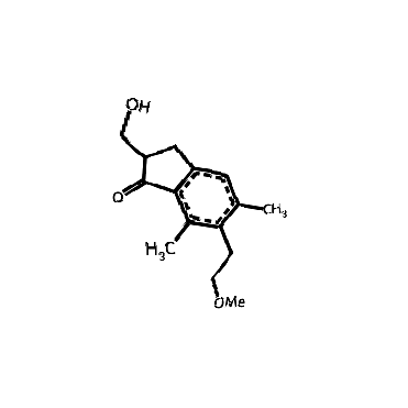 COCCc1c(C)cc2c(c1C)C(=O)C(CO)C2